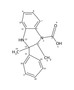 CC1N(C(=O)O)c2ccccc2NC1(C)c1ccccc1